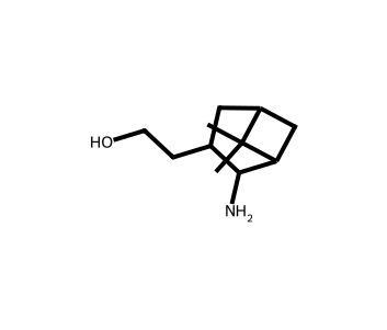 CC1(C)C2CC(CCO)C(N)C1C2